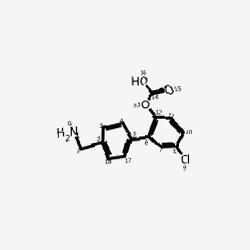 NCc1ccc(-c2cc(Cl)ccc2OC(=O)O)cc1